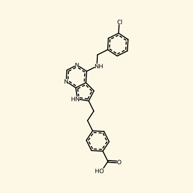 O=C(O)c1ccc(CCc2cc3c(NCc4cccc(Cl)c4)ncnc3[nH]2)cc1